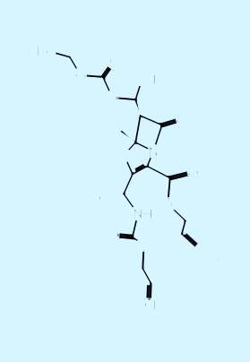 C=CCOC(=O)N[C@H](C)C1=C(C(=O)OCC=C)N2C(=O)[C@H](C(C)OC(=O)OCC(Cl)(Cl)Cl)[C@H]2S1